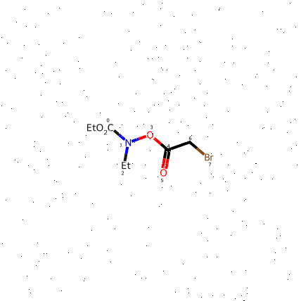 CCOC(=O)N(CC)OC(=O)CBr